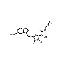 C=CCOC(=O)/C(C#N)=c1\sc(=C=Cc2c[nH]c3ccc(OC)cc23)c(=O)n1CC